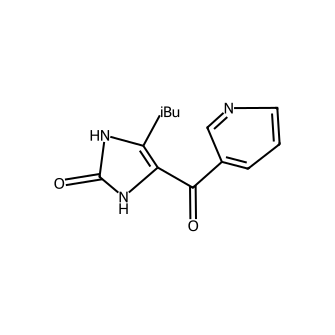 CCC(C)c1[nH]c(=O)[nH]c1C(=O)c1cccnc1